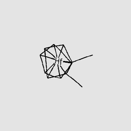 C[C]12[CH]3[CH]4[CH]5[C]1(C)[Hf]43521678[CH]2[CH]1[CH]6[CH]7[CH]28